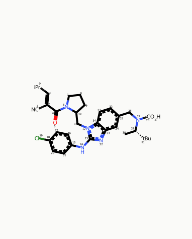 CC(C)C=C(C#N)C(=O)N1CCCC1Cn1c(Nc2ccc(Cl)cc2)nc2cc(CN(C(=O)O)[C@@H](C)C(C)(C)C)ccc21